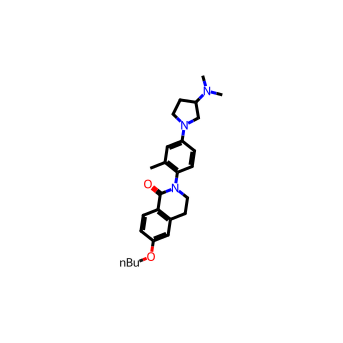 CCCCOc1ccc2c(c1)CCN(c1ccc(N3CCC(N(C)C)C3)cc1C)C2=O